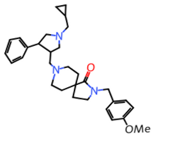 COc1ccc(CN2CCC3(CCN(CC4CN(CC5CC5)CC4c4ccccc4)CC3)C2=O)cc1